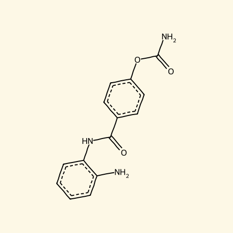 NC(=O)Oc1ccc(C(=O)Nc2ccccc2N)cc1